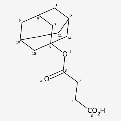 O=C(O)CCC(=O)OC12CC3CC(CC(C3)C1)C2